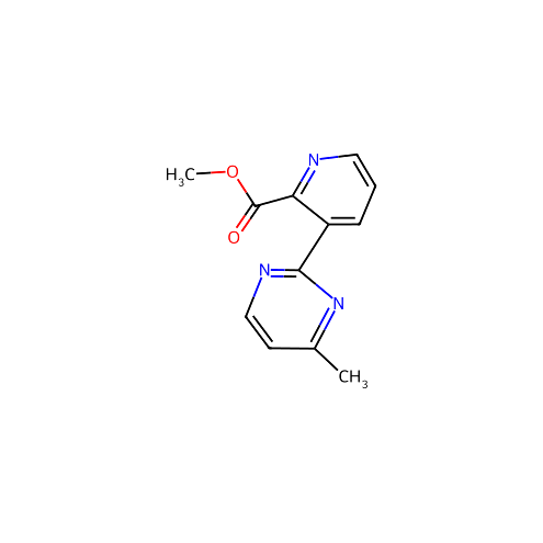 COC(=O)c1ncccc1-c1nccc(C)n1